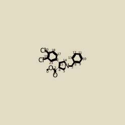 COC(=O)[C@H]1CN(Cc2ccccc2)C[C@H]1c1ccc(Cl)c(Cl)c1